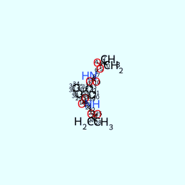 C=C(C)C(=O)OCCNC(=O)Oc1cc(-c2c(OC(=O)NCCOC(=O)C(=C)C)ccc3ccccc23)c2ccccc2c1